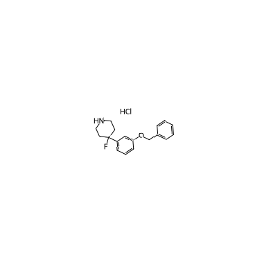 Cl.FC1(c2cccc(OCc3ccccc3)c2)CCNCC1